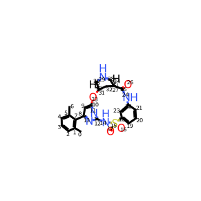 Cc1cccc(C)c1-c1cc2nc(n1)NS(=O)(=O)c1cccc(c1)NC(=O)[C@@H]1CNC[C@H](C1)O2